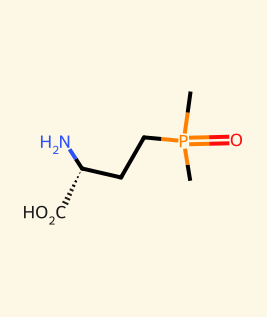 CP(C)(=O)CC[C@@H](N)C(=O)O